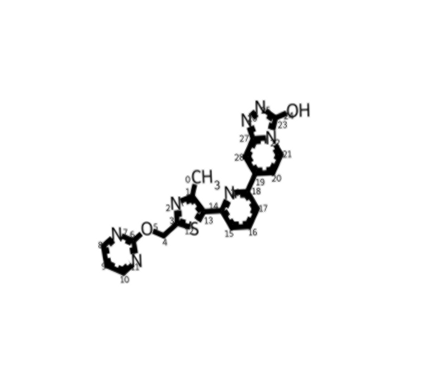 Cc1nc(COc2ncccn2)sc1-c1cccc(-c2ccn3c(O)nnc3c2)n1